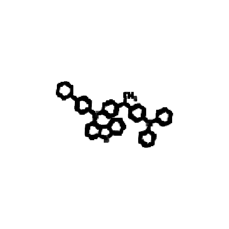 CC(c1ccc(N(c2ccccc2)c2ccccc2)cc1)c1ccc(N(c2ccc(C3CCCCC3)cc2)c2cccc3sc4ccccc4c23)cc1